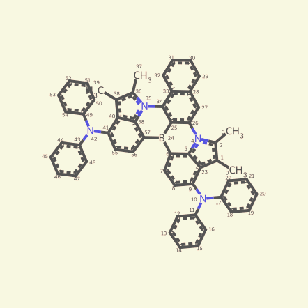 Cc1c(C)n2c3c(ccc(N(c4ccccc4)c4ccccc4)c13)B1c3c-2cc2ccccc2c3-n2c(C)c(C)c3c(N(c4ccccc4)c4ccccc4)ccc1c32